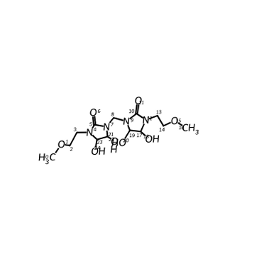 COCCN1C(=O)N(CN2C(=O)N(CCOC)C(O)C2O)C(O)C1O